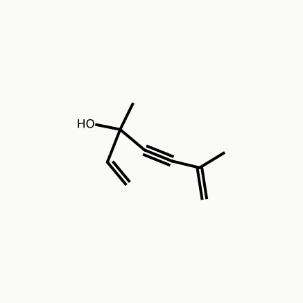 C=CC(C)(O)C#CC(=C)C